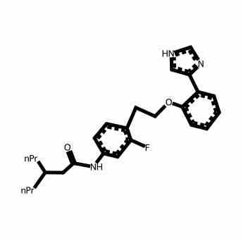 CCCC(CCC)CC(=O)Nc1ccc(CCOc2ccccc2-c2c[nH]cn2)c(F)c1